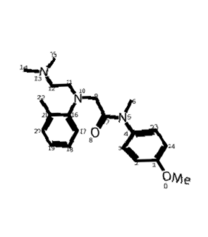 COc1ccc(N(C)C(=O)CN(CCN(C)C)c2ccccc2C)cc1